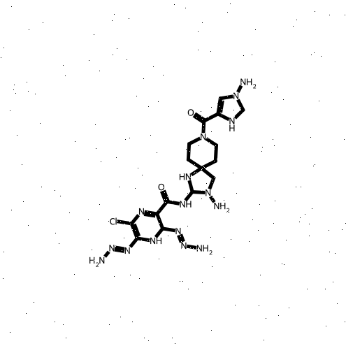 NN=NC1=C(Cl)N=C(C(=O)NC2NC3(CCN(C(=O)C4=CN(N)CN4)CC3)CN2N)C(N=NN)N1